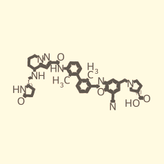 Cc1c(NC(=O)c2cc3n(n2)CCCC3NC[C@@H]2CCC(=O)N2)cccc1-c1cccc(-c2nc3cc(CN4CC[C@@H](C(=O)O)C4)cc(C#N)c3o2)c1C